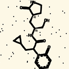 O=C(N[C@H](CO)C[C@@H]1CCNC1=O)C(CC1CC1)n1ccccc1=O